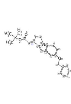 CC(C)(C)OC(=O)/C=C1\CCn2c1cc1cc(OCc3ccccc3)ccc12